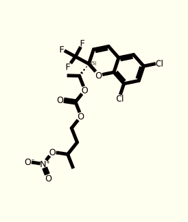 CC(CCOC(=O)OC(C)[C@]1(C(F)(F)F)C=Cc2cc(Cl)cc(Cl)c2O1)O[N+](=O)[O-]